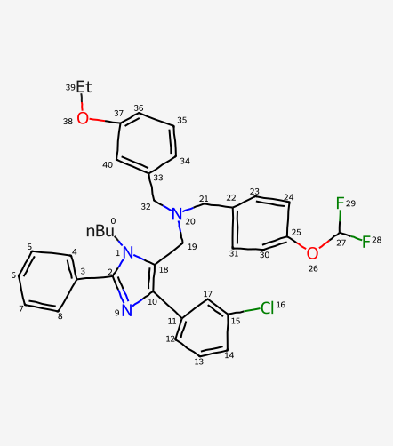 CCCCn1c(-c2ccccc2)nc(-c2cccc(Cl)c2)c1CN(Cc1ccc(OC(F)F)cc1)Cc1cccc(OCC)c1